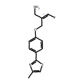 Cc1csc(-c2ccc(OC/C(=C\F)CN)cc2)n1